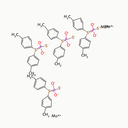 Cc1ccc(S(c2ccc(C)cc2)=P([O-])([O-])[S-])cc1.Cc1ccc(S(c2ccc(C)cc2)=P([O-])([O-])[S-])cc1.Cc1ccc(S(c2ccc(C)cc2)=P([O-])([O-])[S-])cc1.Cc1ccc(S(c2ccc(C)cc2)=P([O-])([O-])[S-])cc1.[Mo+4].[Mo+4].[Mo+4]